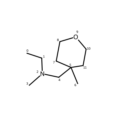 CCN(C)CC1(C)CCOCC1